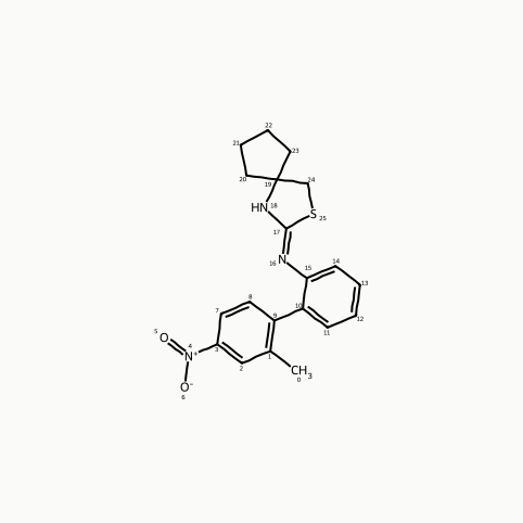 Cc1cc([N+](=O)[O-])ccc1-c1ccccc1N=C1NC2(CCCC2)CS1